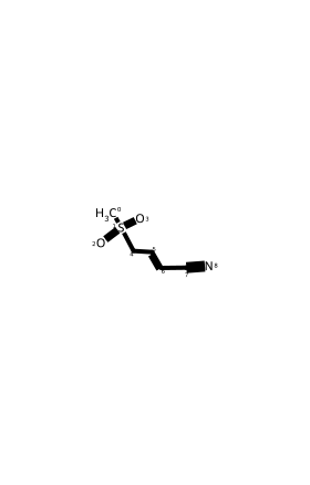 CS(=O)(=O)CC=CC#N